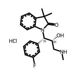 CNC[C@@H](O)[C@H](c1cccc(F)c1)N1C(=O)C(C)(C)c2ccccc21.Cl